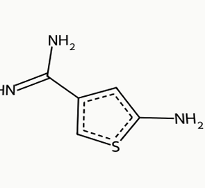 N=C(N)c1csc(N)c1